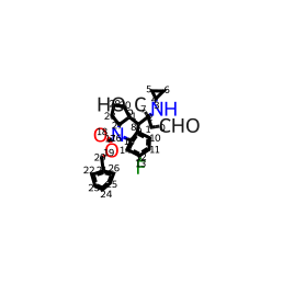 O=CCC(NC1CC1)(C(=O)O)C1c2ccc(F)cc2N(C(=O)OCc2ccccc2)C2CCCC21